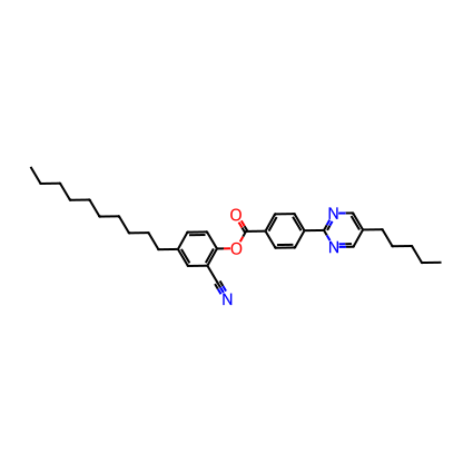 CCCCCCCCCCc1ccc(OC(=O)c2ccc(-c3ncc(CCCCC)cn3)cc2)c(C#N)c1